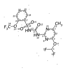 Cc1cc(OC(F)F)nc(NC(=O)NS(=O)(=O)c2ccccc2OC(F)(F)F)n1